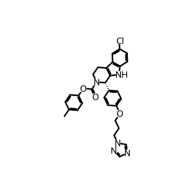 Cc1ccc(OC(=O)N2CCc3c([nH]c4ccc(Cl)cc34)[C@@H]2c2ccc(OCCCn3cncn3)cc2)cc1